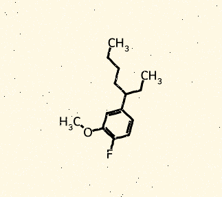 CCCCC(CC)c1ccc(F)c(OC)c1